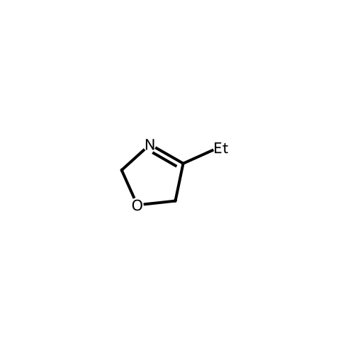 CCC1=NCOC1